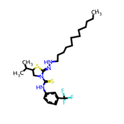 CCCCCCCCCCCCNN=C1SC(C(C)C)CN1C(=S)Nc1cccc(C(F)(F)F)c1